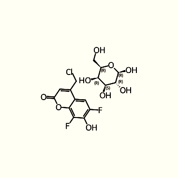 O=c1cc(CCl)c2cc(F)c(O)c(F)c2o1.OC[C@H]1O[C@@H](O)[C@H](O)[C@@H](O)[C@H]1O